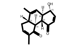 CC1=CC[C@@H]2C(C)=C[C@@H]3[C@H](C(=O)C=C[C@H]3O)[C@H]2C1=O